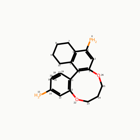 Pc1cc2c(c3c1CCCC3)-c1c(cc(P)c3c1CCCC3)OCCCO2